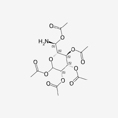 CC(=O)OC1O[C@H]([C@@H](N)OC(C)=O)[C@@H](OC(C)=O)[C@H](OC(C)=O)[C@@H]1OC(C)=O